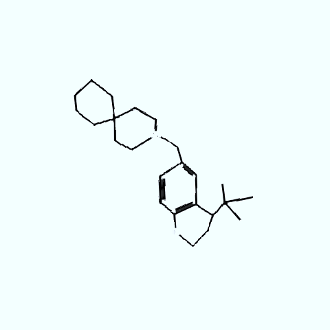 CC(C)(C)C1CCNc2ccc(CN3CCC4(CCCCC4)CC3)cc21